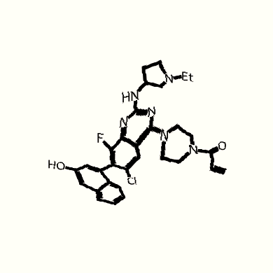 C=CC(=O)N1CCN(c2nc(NC3CCN(CC)C3)nc3c(F)c(-c4cc(O)cc5ccccc45)c(Cl)cc23)CC1